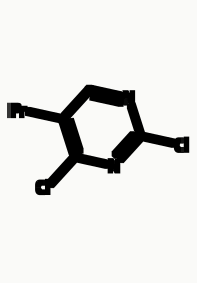 CC(C)c1cnc(Cl)nc1Cl